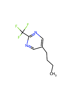 CCCCc1cnc(C(F)(F)F)nc1